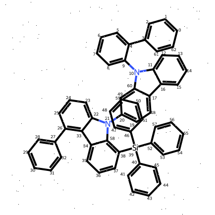 c1ccc(-c2ccccc2-n2c3ccccc3c3ccc(-n4c5cccc(-c6ccccc6)c5c5cccc([Si](c6ccccc6)(c6ccccc6)c6ccccc6)c54)cc32)cc1